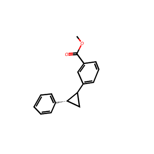 COC(=O)c1cccc(C2C[C@@H]2c2ccccc2)c1